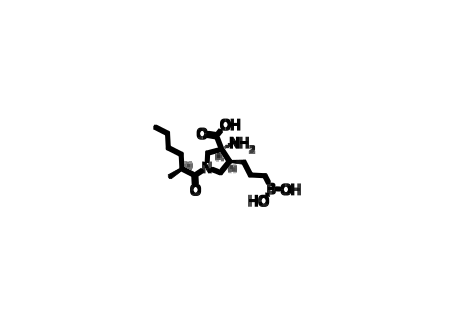 CCCC[C@H](C)C(=O)N1C[C@H](CCCB(O)O)[C@](N)(C(=O)O)C1